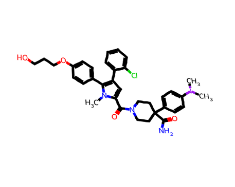 Cn1c(C(=O)N2CCC(C(N)=O)(c3ccc(I(C)C)cc3)CC2)cc(-c2ccccc2Cl)c1-c1ccc(OCCCO)cc1